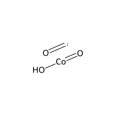 [C]=O.[O]=[Co][OH]